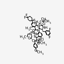 COc1ccc(CN(c2nn(CCN3C[C@@H](C)O[C@@H](C)C3)c3c(-n4c([C@H](Cc5cc(F)cc(F)c5)NC(=O)OC(C)(C)C)nc5nc(C6(F)CCC(F)(F)CC6)cc(C)c5c4=O)ccc(Cl)c23)S(C)(=O)=O)cc1